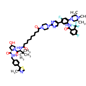 Cc1ncsc1-c1ccc(CNC(=O)[C@@H]2C[C@@H](O)CN2C(=O)[C@@H](NC(=O)CCCCCCCCC(=O)N2CCN(c3ncc(-c4cc(NC(=O)c5ccc(F)cc5C(F)(F)F)c(N5C[C@@H](C)N(C)[C@@H](C)C5)cc4F)cn3)CC2)C(C)(C)C)cc1